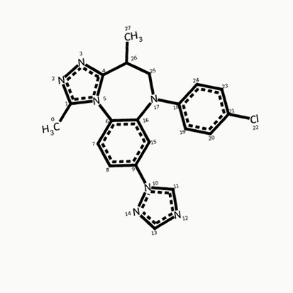 Cc1nnc2n1-c1ccc(-n3cncn3)cc1N(c1ccc(Cl)cc1)CC2C